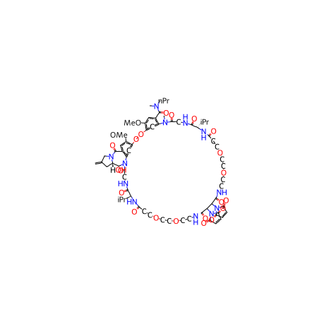 C=C1C[C@H]2[C@H](O)N3C(=O)CNC(=O)[C@H](C(C)C)NC(=O)CCOCCOCCNC(=O)C(N4C(=O)C=CC4=O)C(N4C(=O)C=CC4=O)C(=O)NCCOCCOCCC(=O)N[C@@H](C(C)C)C(=O)NCC(=O)N(C)c4cc(c(OC)cc4C(=O)N(C)CCC)OOc4cc3c(cc4OC)C(=O)N2C1